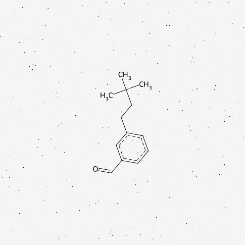 CC(C)(C)CCc1cccc(C=O)c1